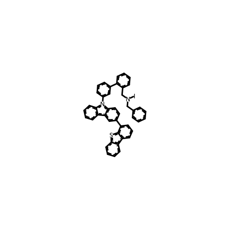 IN(Cc1ccccc1)Cc1ccccc1-c1cccc(-n2c3ccccc3c3cc(-c4cccc5c4sc4ccccc45)ccc32)c1